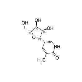 Cc1cc([C@@H]2O[C@H](CO)[C@@H](O)[C@H]2O)c[nH]c1=O